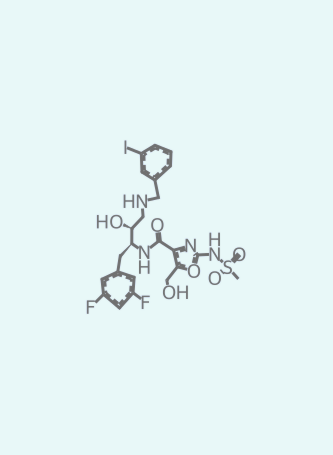 CS(=O)(=O)Nc1nc(C(=O)N[C@@H](Cc2cc(F)cc(F)c2)[C@@H](O)CNCc2cccc(I)c2)c(CO)o1